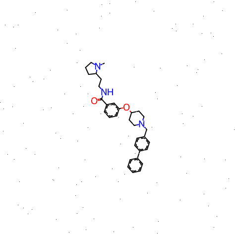 CN1CCCC1CCNC(=O)c1cccc(OC2CCN(Cc3ccc(-c4ccccc4)cc3)CC2)c1